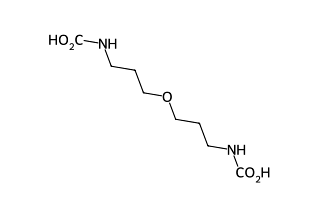 O=C(O)NCCCOCCCNC(=O)O